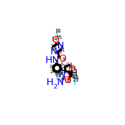 NC1=N[C@]2(c3cc(NC(=O)c4cnc(OCF)cn4)ccc3F)CCO[C@@H]2[C@H](CF)O1